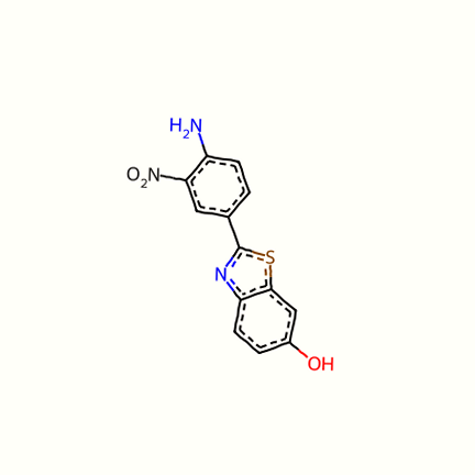 Nc1ccc(-c2nc3ccc(O)cc3s2)cc1[N+](=O)[O-]